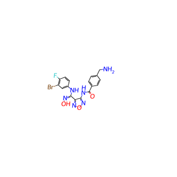 NCc1ccc(C(=O)Nc2nonc2/C(=N\O)Nc2ccc(F)c(Br)c2)cc1